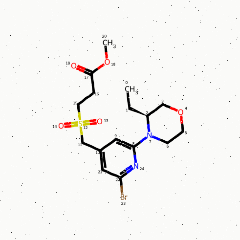 CC[C@H]1COCCN1c1cc(CS(=O)(=O)CCC(=O)OC)cc(Br)n1